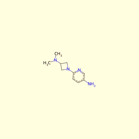 CN(C)C1CN(c2ccc(N)cn2)C1